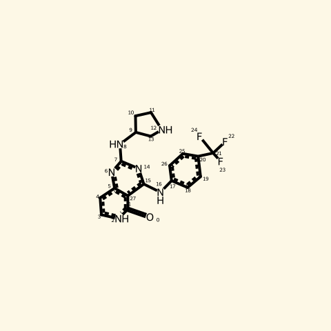 O=c1[nH]ccc2nc(NC3CCNC3)nc(Nc3ccc(C(F)(F)F)cc3)c12